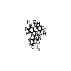 Cc1cncc(-n2c(=O)nc(Nc3cc4cn(C)nc4cc3F)n(Cc3cc(F)c(F)c(F)c3)c2=O)c1